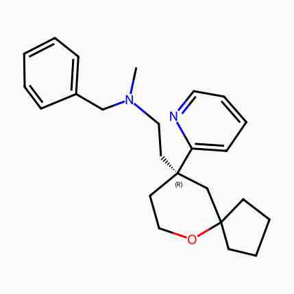 CN(CC[C@@]1(c2ccccn2)CCOC2(CCCC2)C1)Cc1ccccc1